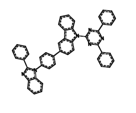 c1ccc(-c2nc(-c3ccccc3)nc(-n3c4ccccc4c4cc(-c5ccc(-n6c(-c7ccccc7)nc7ccccc76)cc5)ccc43)n2)cc1